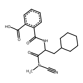 CN(C#N)C(=O)C(CC1CCCCC1)NC(=O)c1ccccc1C(=O)O